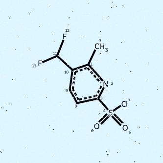 Cc1nc(S(=O)(=O)Cl)ccc1C(F)F